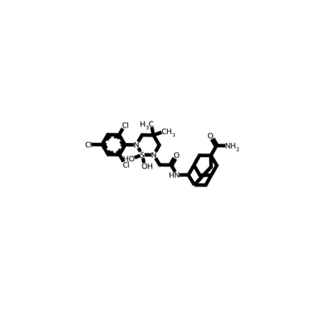 CC1(C)CN(CC(=O)NC2C3CC4CC2CC(C(N)=O)(C4)C3)S(O)(O)N(c2c(Cl)cc(Cl)cc2Cl)C1